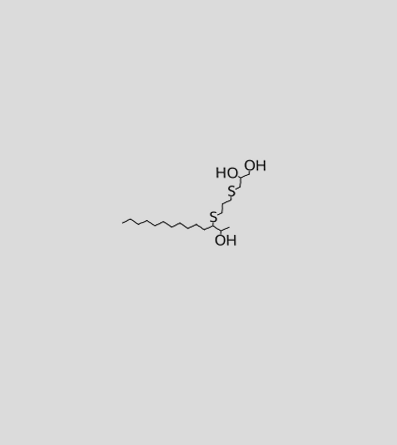 CCCCCCCCCCCC(SCCCSCC(O)CO)C(C)O